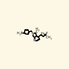 Bc1ccc(CN2Cc3nccc(CCC(C)(F)CC)c3C2=C)cc1